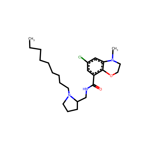 CCCCCCCCCN1CCCC1CNC(=O)c1cc(Cl)cc2c1OCCN2C